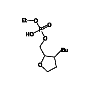 CCOP(=O)(O)OCC1OCCC1C(C)CC